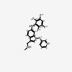 CNCc1cn(Sc2cccnc2)c2cc(Nc3c(F)c(F)cc(F)c3F)ccc12